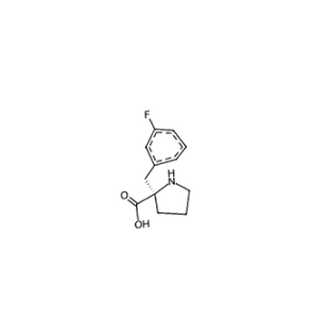 O=C(O)[C@]1(Cc2cccc(F)c2)CCCN1